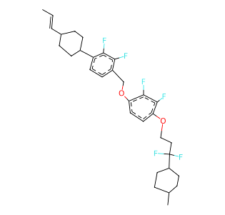 C/C=C/C1CCC(c2ccc(COc3ccc(OCCC(F)(F)C4CCC(C)CC4)c(F)c3F)c(F)c2F)CC1